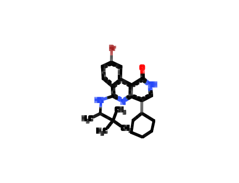 CC(Nc1nc2c(C3CCCCC3)c[nH]c(=O)c2c2cc(Br)ccc12)C(C)(C)C